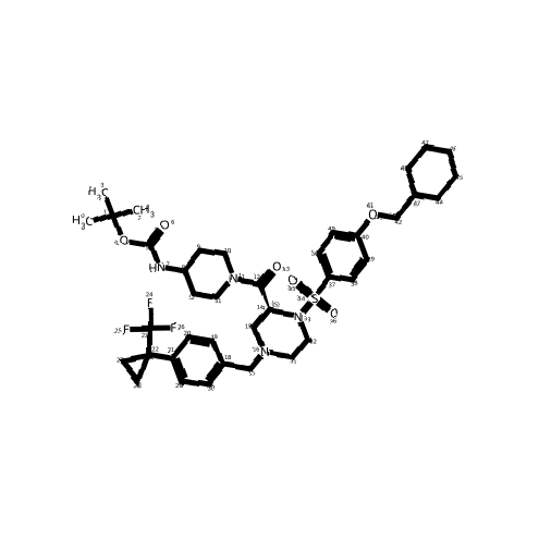 CC(C)(C)OC(=O)NC1CCN(C(=O)[C@@H]2CN(Cc3ccc(C4(C(F)(F)F)CC4)cc3)CCN2S(=O)(=O)c2ccc(OCC3CCCCC3)cc2)CC1